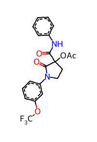 CC(=O)OC1(C(=O)Nc2ccccc2)CCN(c2cccc(OC(F)(F)F)c2)C1=O